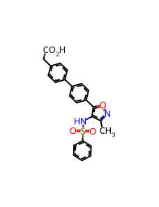 Cc1noc(-c2ccc(-c3ccc(CC(=O)O)cc3)cc2)c1NS(=O)(=O)c1ccccc1